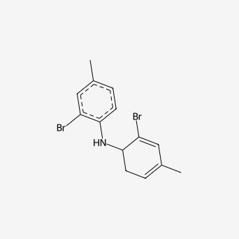 CC1=CCC(Nc2ccc(C)cc2Br)C(Br)=C1